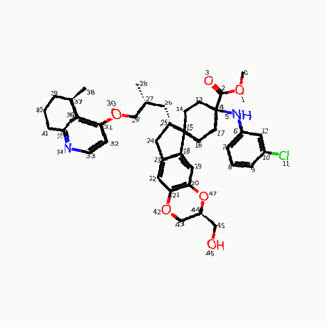 COC(=O)C1(Nc2cccc(Cl)c2)CCC2(CC1)c1cc3c(cc1C[C@@H]2C[C@@H](C)COc1ccnc2c1[C@H](C)CCC2)OC[C@H](CO)O3